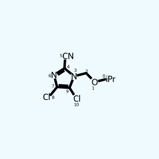 CC(C)OCn1c(C#N)nc(Cl)c1Cl